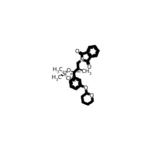 C[C@H](CN1C(=O)c2ccccc2C1=O)[C@@H](O[Si](C)(C)C)c1cccc(OC2CCCCO2)c1